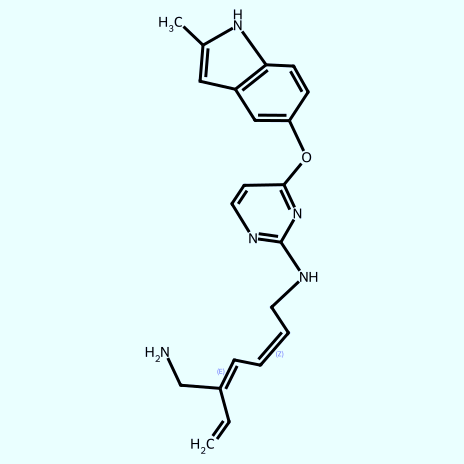 C=C/C(=C\C=C/CNc1nccc(Oc2ccc3[nH]c(C)cc3c2)n1)CN